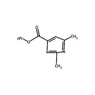 CCCOC(=O)c1cc(C)nc(C)c1